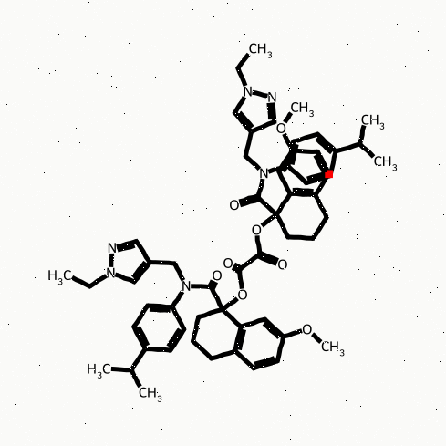 CCn1cc(CN(C(=O)C2(OC(=O)C(=O)OC3(C(=O)N(Cc4cnn(CC)c4)c4ccc(C(C)C)cc4)CCCc4ccc(OC)cc43)CCCc3ccc(OC)cc32)c2ccc(C(C)C)cc2)cn1